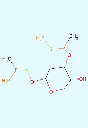 CP(P)SOC1C[C@H](OP(C)SP)[C@H](O)CO1